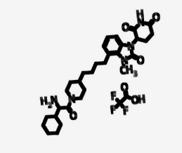 Cn1c(=O)n(C2CCC(=O)NC2=O)c2cccc(CCCCC3CCN(C(=O)C(N)C4CCCCC4)CC3)c21.O=C(O)C(F)(F)F